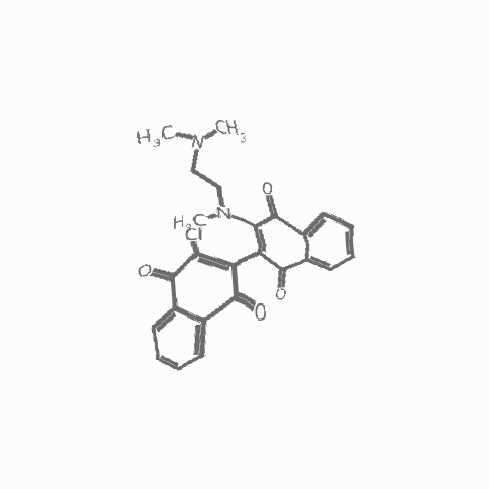 CN(C)CCN(C)C1=C(C2=C(Cl)C(=O)c3ccccc3C2=O)C(=O)c2ccccc2C1=O